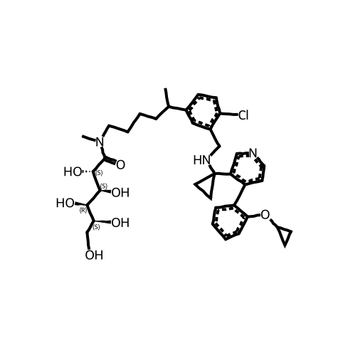 CC(CCCCN(C)C(=O)[C@@H](O)[C@@H](O)[C@H](O)[C@@H](O)CO)c1ccc(Cl)c(CNC2(c3cnccc3-c3ccccc3OC3CC3)CC2)c1